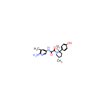 Cc1cc(NC(=O)C(=O)N2C[C@@H](C)CC[C@@]2(C)c2ccc(O)cc2)cnc1N